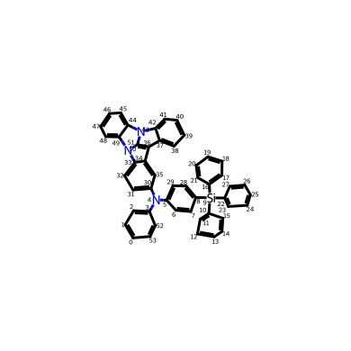 c1ccc(N(c2ccc([Si](c3ccccc3)(c3ccccc3)c3ccccc3)cc2)c2ccc3c(c2)c2c4ccccc4n4c5ccccc5n3c24)cc1